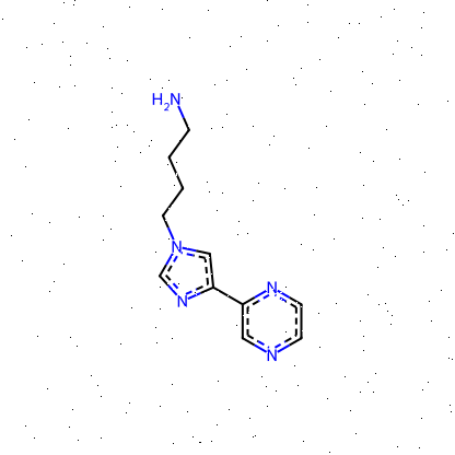 NCCCCn1cnc(-c2cnccn2)c1